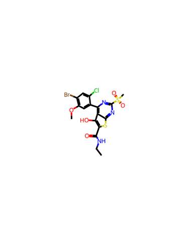 CCNC(=O)c1sc2nc(S(C)(=O)=O)nc(-c3cc(OC)c(Br)cc3Cl)c2c1O